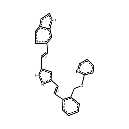 C(=C\c1cc(/C=C/c2ccccc2COc2ccccn2)n[nH]1)/c1ccc2cc[nH]c2c1